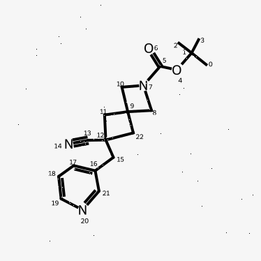 CC(C)(C)OC(=O)N1CC2(C1)CC(C#N)(Cc1cccnc1)C2